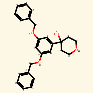 OC1(c2cc(OCc3ccccc3)cc(OCc3ccccc3)c2)CCOCC1